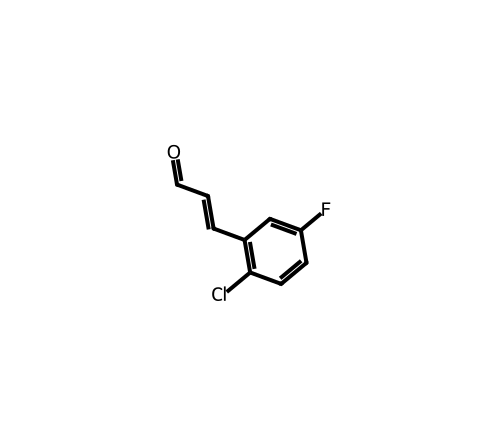 O=C/C=C/c1cc(F)ccc1Cl